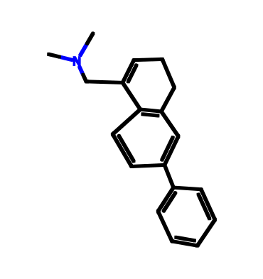 CN(C)CC1=CCCc2cc(-c3ccccc3)ccc21